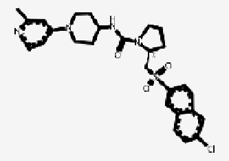 Cc1cc(N2CCC(NC(=O)N3CCC[C@H]3CS(=O)(=O)c3ccc4cc(Cl)ccc4c3)CC2)ccn1